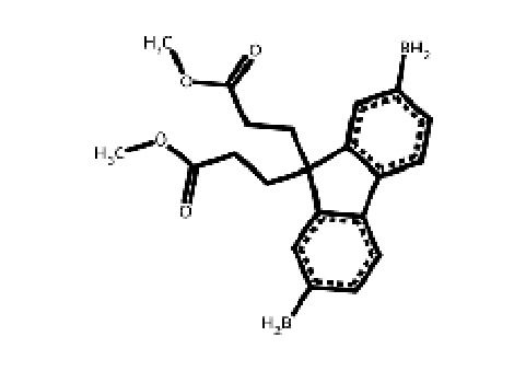 Bc1ccc2c(c1)C(CCC(=O)OC)(CCC(=O)OC)c1cc(B)ccc1-2